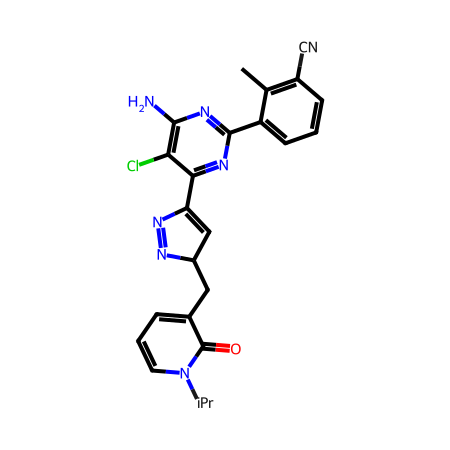 Cc1c(C#N)cccc1-c1nc(N)c(Cl)c(C2=CC(Cc3cccn(C(C)C)c3=O)N=N2)n1